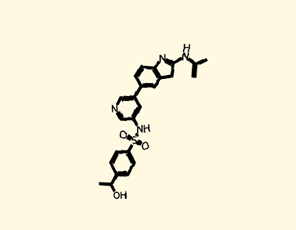 C=C(C)NC1=Nc2ccc(-c3cncc(NS(=O)(=O)c4ccc(C(C)O)cc4)c3)cc2C1